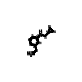 NCc1cccc(NCC2CC2)c1